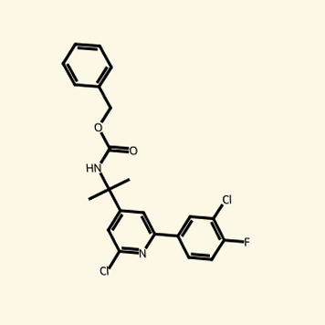 CC(C)(NC(=O)OCc1ccccc1)c1cc(Cl)nc(-c2ccc(F)c(Cl)c2)c1